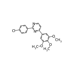 COc1cc(-c2ccnc(-c3ccc(Cl)cc3)n2)cc(OC)c1OC